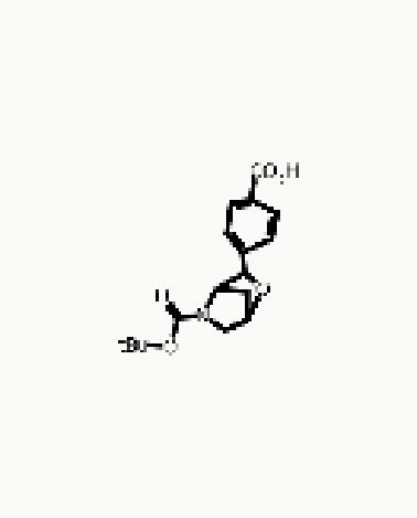 CC(C)(C)OC(=O)N1CC2CC1C(c1ccc(C(=O)O)cc1)O2